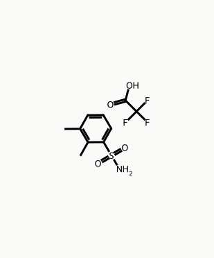 Cc1cccc(S(N)(=O)=O)c1C.O=C(O)C(F)(F)F